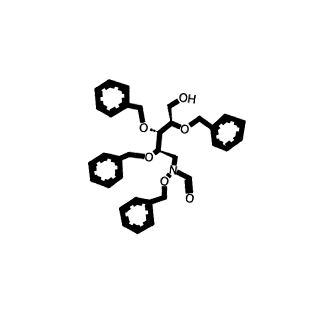 O=CN(C[C@@H](OCc1ccccc1)[C@H](OCc1ccccc1)[C@@H](CO)OCc1ccccc1)OCc1ccccc1